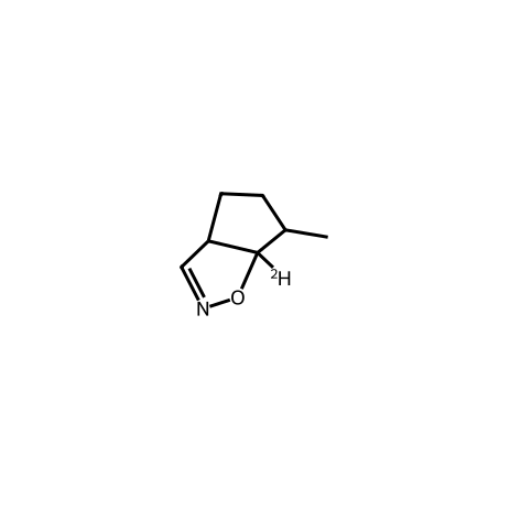 [2H]C12ON=CC1CCC2C